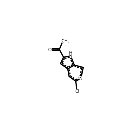 CC(=O)c1cc2cc(Cl)ncc2[nH]1